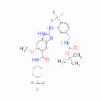 COc1cc2[nH]c(Nc3cc(CNC(=O)OC(C)(C)C)ccc3C(F)(F)F)nc2cc1C(=O)N[C@H]1CC[C@H](C(F)(F)F)CC1